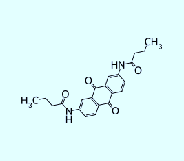 CCCC(=O)Nc1ccc2c(c1)C(=O)c1cc(NC(=O)CCC)ccc1C2=O